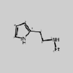 CCNCCc1ccc[nH]1